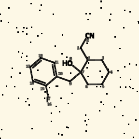 N#CCC1CCCCC1(O)Cc1ccccc1F